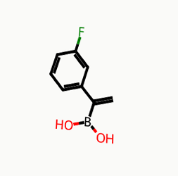 C=C(B(O)O)c1cccc(F)c1